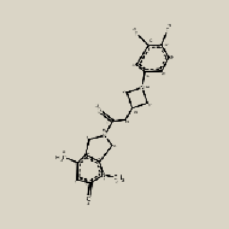 Cc1cc(=O)n(C)c2c1CN(C(=O)CC1CN(c3ccc(F)c(F)c3)C1)C2